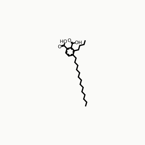 CCCCCCCCCCCCCCc1ccc(C(=O)O)c(C(=O)O)c1CCCC